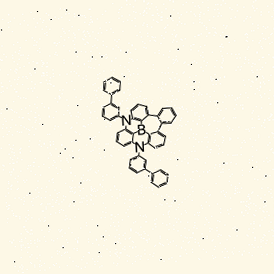 c1ccc(-c2cccc(N3c4cccc5c4B4c6c(cccc6N(c6cccc(-c7ccccc7)c6)c6cccc3c64)-c3ccccc3-5)c2)cc1